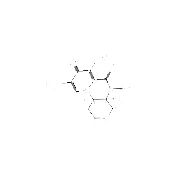 COc1c2n(cc(C(=O)O)c1=O)[C@@H]1CCOC[C@H]1N(C(C)C)C2=O